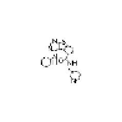 O=C(NCc1cccnc1)C1CCc2sc3ncnc(NC4CCCCC4)c3c21